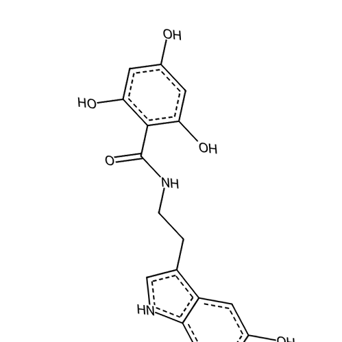 O=C(NCCc1c[nH]c2ccc(O)cc12)c1c(O)cc(O)cc1O